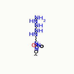 CC(C)[C@H]1CC[C@@H](N2CCC3(CC2)C(=O)N(CCCCCCNCCNCCCNCCNCCN)CN3c2ccccc2)CC1